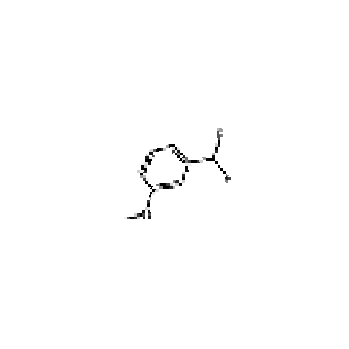 [CH2]Oc1cccc(C(F)F)c1